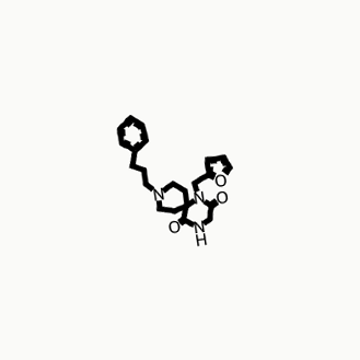 O=C1CNC(=O)C2(CCN(CCCc3ccccc3)CC2)N1Cc1ccco1